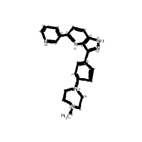 CN1CCN(c2ccc(-c3n[nH]c4ccc(-c5cccnc5)nc34)cc2)CC1